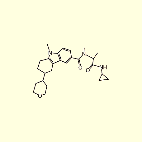 CC(C(=O)NC1CC1)N(C)C(=O)c1ccc2c(c1)c1c(n2C)CCC(C2CCOCC2)C1